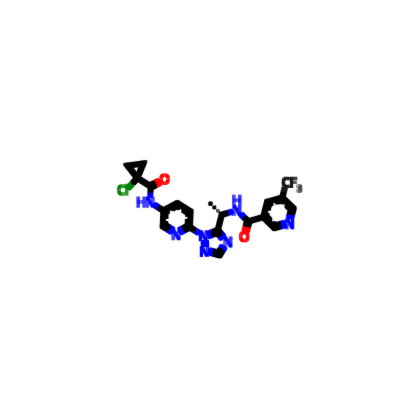 C[C@H](NC(=O)c1cncc(C(F)(F)F)c1)c1ncnn1-c1ccc(NC(=O)C2(Cl)CC2)cn1